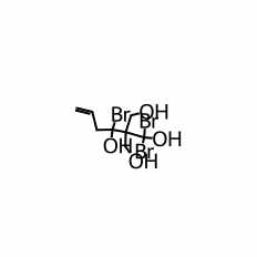 C=CCC(O)(Br)C(CO)(CO)C(O)(Br)Br